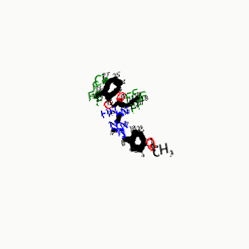 COc1ccc(Cn2cnc(-c3nc(C(F)(F)C(F)(F)F)c(Oc4ccc(Cl)c(C(F)(F)F)c4)c(=O)[nH]3)n2)cc1